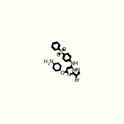 N[C@H]1CC[C@H](Oc2cc(Nc3ccc(S(=O)(=O)c4ccccc4)cc3)n3ncc(Br)c3n2)CC1